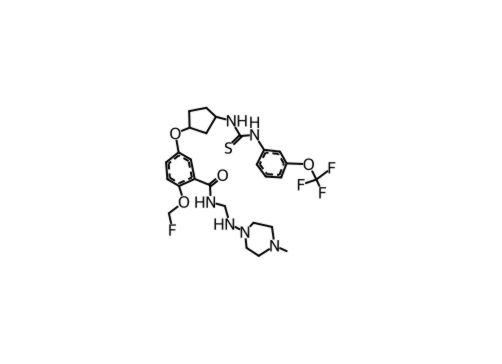 CN1CCN(NCNC(=O)c2cc(OC3CCC(NC(=S)Nc4cccc(OC(F)(F)F)c4)C3)ccc2OCF)CC1